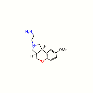 COc1ccc2c(c1)[C@@H]1CN(CCN)C[C@@H]1CO2